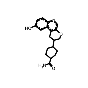 NC(=O)C1CCC(C2COc3cnc4ccc(O)cc4c3C2)CC1